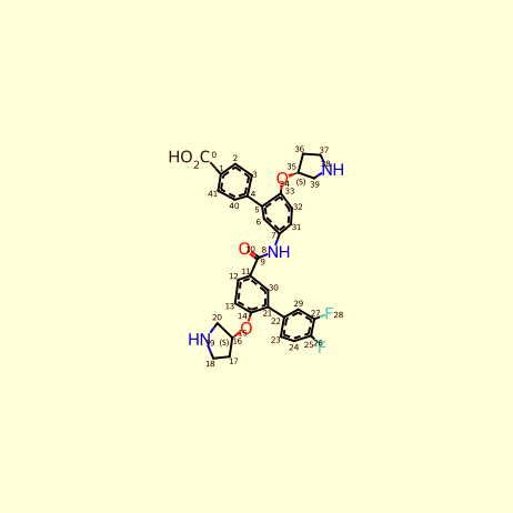 O=C(O)c1ccc(-c2cc(NC(=O)c3ccc(O[C@H]4CCNC4)c(-c4ccc(F)c(F)c4)c3)ccc2O[C@H]2CCNC2)cc1